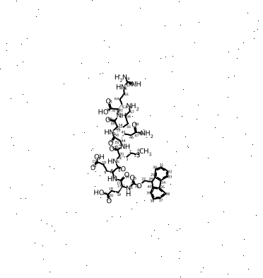 CSCC[C@H](NC(=O)[C@H](CCC(=O)O)NC(=O)[C@H](CCC(=O)O)NC(=O)OCC1c2ccccc2-c2ccccc21)C(=O)N[C@@H](CCC(N)=O)C(=O)N[C@@H](CCCCN)C(=O)N[C@@H](CCCNC(=N)N)C(=O)O